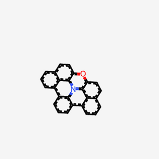 c1cc2ccc3oc4ccc5cccc6c7cccc8c(c1)c2c3n(c87)c4c56